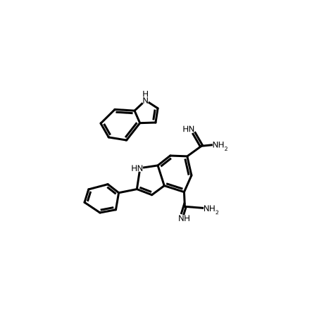 N=C(N)c1cc(C(=N)N)c2cc(-c3ccccc3)[nH]c2c1.c1ccc2[nH]ccc2c1